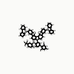 Cc1cc(C)c(-c2cc3c(c(C4c5ccc6c(oc7ccc(-n8c9ccccc9c9ccccc98)cc76)c5-c5c4ccc4c5oc5ccc(-n6c7ccccc7c7ccccc76)cc54)c2)Bc2cc(C(C)(C)C)ccc2O3)c(C)c1